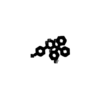 O=C(NC(=C(Cl)Cl)[P+](c1ccccc1)(c1ccccc1)c1ccccc1)c1ccc(Br)cc1.[Cl-]